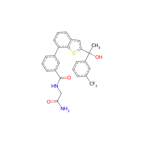 CC(O)(c1cccc(C(F)(F)F)c1)c1cc2cccc(-c3cccc(C(=O)NCC(N)=O)c3)c2s1